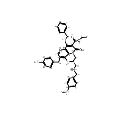 CCOC(=O)c1c(OCc2ccccc2)c2ncc(Cc3ccc(F)cc3)c3c2n(c1=O)C[C@@H](CNCc1ccc(OC)cc1)O3